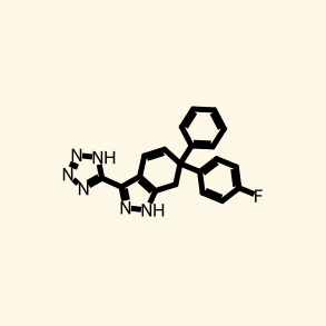 Fc1ccc(C2(c3ccccc3)C=Cc3c(-c4nnn[nH]4)n[nH]c3C2)cc1